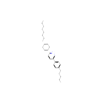 CCCCCCCC[C@H]1CC[C@H](c2ccc(-c3ccc(CCCCC)cc3)cn2)CC1